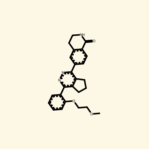 COCCOc1ccccc1-c1nnc(-c2ccc3c(c2)CCNC3=O)c2c1CCC2